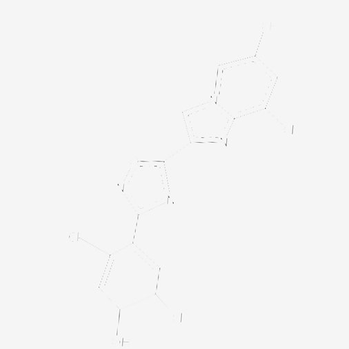 OC1C=C(Cl)C(c2noc(-c3cn4cc(C(F)(F)F)cc(Cl)c4n3)n2)=CC1Cl